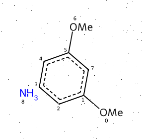 COc1cccc(OC)c1.N